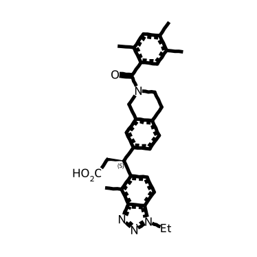 CCn1nnc2c(C)c([C@@H](CC(=O)O)c3ccc4c(c3)CN(C(=O)c3cc(C)c(C)cc3C)CC4)ccc21